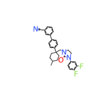 CC1CCC(CN2CCN(c3ccc(F)c(F)c3)C2=O)(c2ccc(-c3cccc(C#N)c3)cc2)CC1